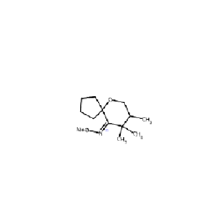 CO/N=C1\C2(CCCC2)OCC(C)C1(C)C